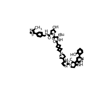 Cc1ncsc1-c1ccc(CNC(=O)[C@@H]2C[C@@H](O)CN2C(=O)[C@@H](NC(=O)C2CC3(C2)CC(N2CCC(c4ccnc(N5CCc6[nH]c7nnc(-c8ccccc8O)cc7c6[C@H]5C)n4)CC2)C3)C(C)(C)C)cc1